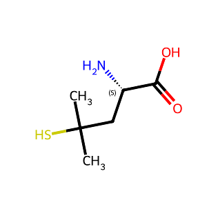 CC(C)(S)C[C@H](N)C(=O)O